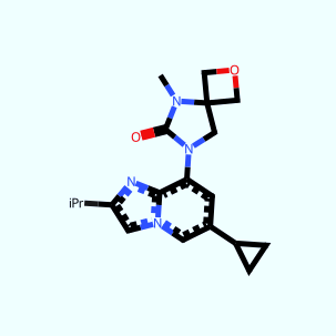 CC(C)c1cn2cc(C3CC3)cc(N3CC4(COC4)N(C)C3=O)c2n1